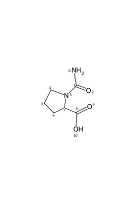 NC(=O)N1CCCC1C(=O)O